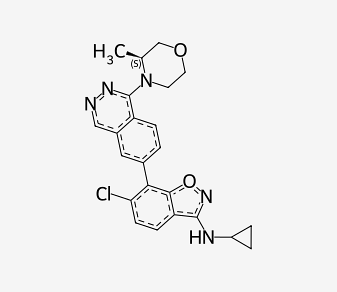 C[C@H]1COCCN1c1nncc2cc(-c3c(Cl)ccc4c(NC5CC5)noc34)ccc12